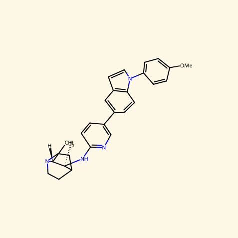 COc1ccc(-n2ccc3cc(-c4ccc(N[C@H]5C6CCN(CC6)[C@@H]5C)nc4)ccc32)cc1